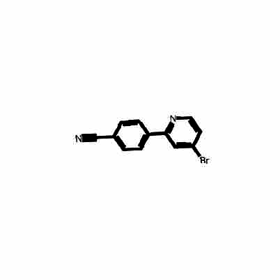 N#Cc1ccc(-c2cc(Br)ccn2)cc1